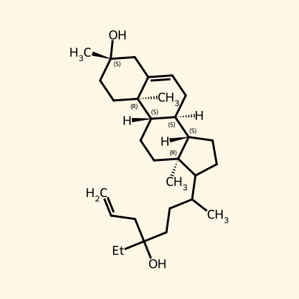 C=CCC(O)(CC)CCC(C)C1CC[C@H]2[C@@H]3CC=C4C[C@@](C)(O)CC[C@]4(C)[C@H]3CC[C@]12C